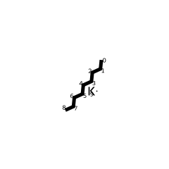 CCCCCCCCC.[K]